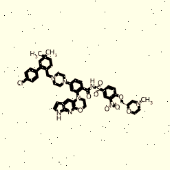 CN1CCO[C@H](COc2ccc(S(=O)(=O)NC(=O)c3ccc(N4CCN(CC5=C(c6ccc(Cl)cc6)CC(C)(C)CC5)CC4)cc3N3CCOc4nc5[nH]ccc5cc43)cc2[N+](=O)[O-])C1